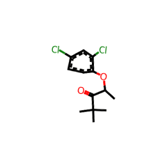 CC(Oc1ccc(Cl)cc1Cl)C(=O)C(C)(C)C